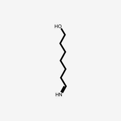 N=CCCCCCCO